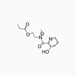 CCC(=O)OCCN(OC)C(=O)c1ncccc1O